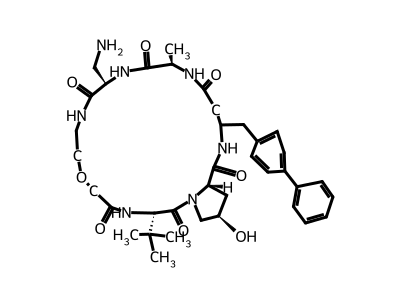 C[C@H]1NC(=O)CC(Cc2ccc(-c3ccccc3)cc2)NC(=O)[C@@H]2C[C@@H](O)CN2C(=O)[C@H](C(C)(C)C)NC(=O)COCCNC(=O)[C@@H](CN)NC1=O